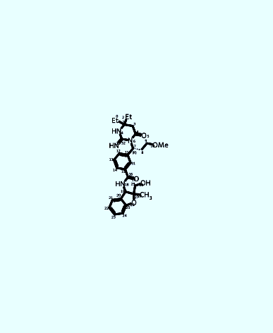 CCC1(CC)CC(=O)N([C@H](CCOC)c2cccc(C(=O)NC3c4ccccc4OC3(C)CO)c2)C(=N)N1